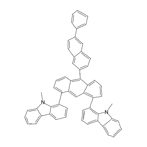 Cn1c2ccccc2c2cccc(-c3cccc4c(-c5ccc6cc(-c7ccccc7)ccc6c5)c5cccc(-c6cccc7c8ccccc8n(C)c67)c5cc34)c21